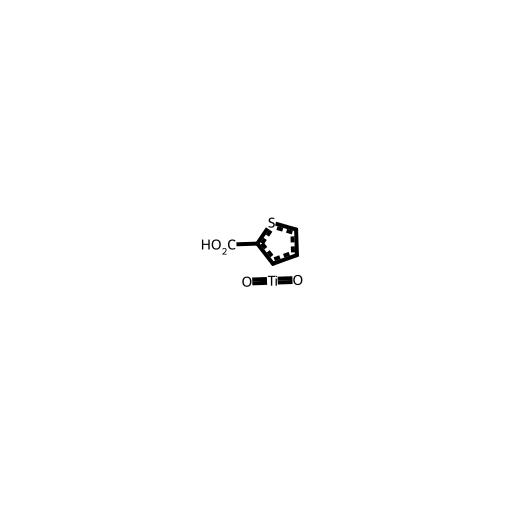 O=C(O)c1cccs1.[O]=[Ti]=[O]